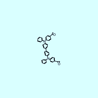 c1ccc(N(c2ccc(-c3ccc(N(c4ccccc4)c4ccc(C5CO5)cc4)cc3)cc2)c2ccc(C3CO3)cc2)cc1